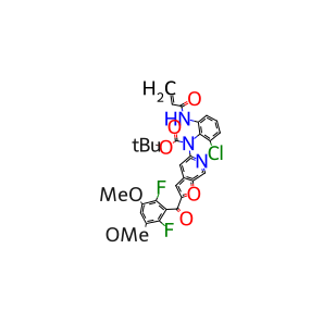 C=CC(=O)Nc1cccc(Cl)c1N(C(=O)OC(C)(C)C)c1cc2cc(C(=O)c3c(F)c(OC)cc(OC)c3F)oc2cn1